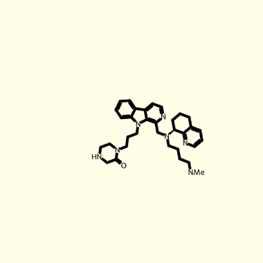 CNCCCCN(Cc1nccc2c3ccccc3n(CCCN3CCNCC3=O)c12)[C@H]1CCCc2cccnc21